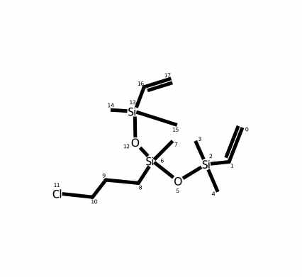 C=C[Si](C)(C)O[Si](C)(CCCCl)O[Si](C)(C)C=C